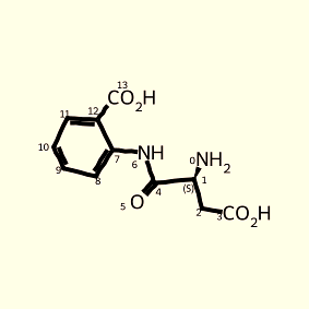 N[C@@H](CC(=O)O)C(=O)Nc1ccccc1C(=O)O